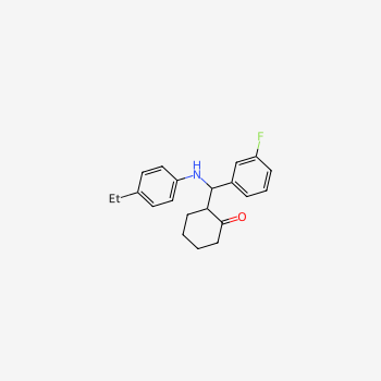 CCc1ccc(NC(c2cccc(F)c2)C2CCCCC2=O)cc1